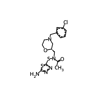 CC(=O)N(C[C@@H]1CN(Cc2cccc(Cl)c2)CCO1)Sc1nnc(N)s1